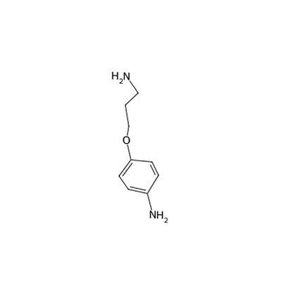 NCCCOc1ccc(N)cc1